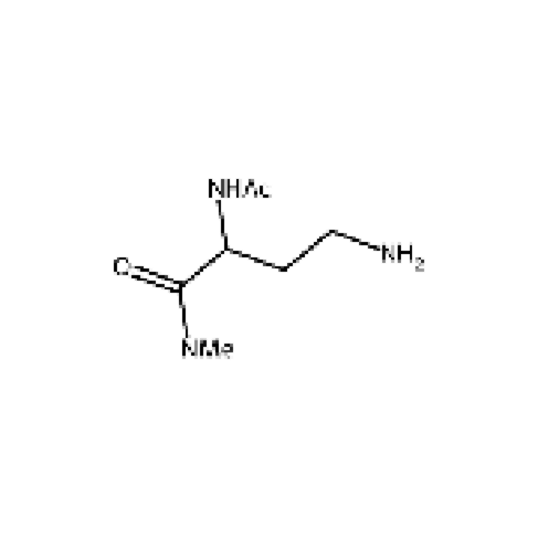 CNC(=O)C(CCN)NC(C)=O